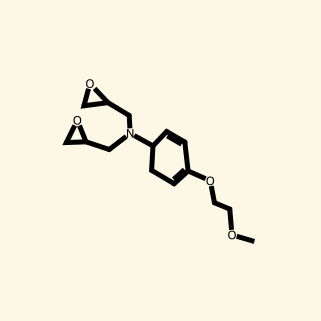 COCCOC1=CCC(N(CC2CO2)CC2CO2)C=C1